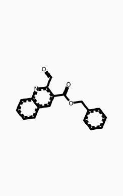 O=[C]c1nc2ccccc2cc1C(=O)OCc1ccccc1